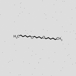 CCCCCCOCCCCOCCCCCC